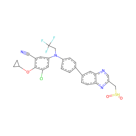 N#Cc1cc(N(CC(F)(F)F)c2ccc(-c3ccc4nc(C[SH](=O)=O)cnc4c3)cc2)cc(Cl)c1OC1CC1